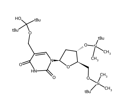 CC(C)(C)C(O)(OCc1cn([C@H]2C[C@H](O[Si](C)(C)C(C)(C)C)[C@@H](CO[Si](C)(C)C(C)(C)C)O2)c(=O)[nH]c1=O)C(C)(C)C